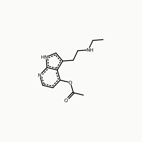 CCNCCc1c[nH]c2nccc(OC(C)=O)c12